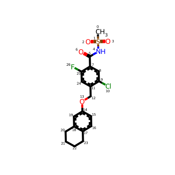 CS(=O)(=O)NC(=O)c1cc(Cl)c(COc2ccc3c(c2)CCCC3)cc1F